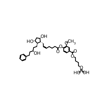 COc1cc(C(=O)OCCCCON(O)O)ccc1OC(=O)CCC/C=C\C[C@@H]1[C@@H](CC[C@@H](O)CCc2ccccc2)[C@H](O)C[C@@H]1O